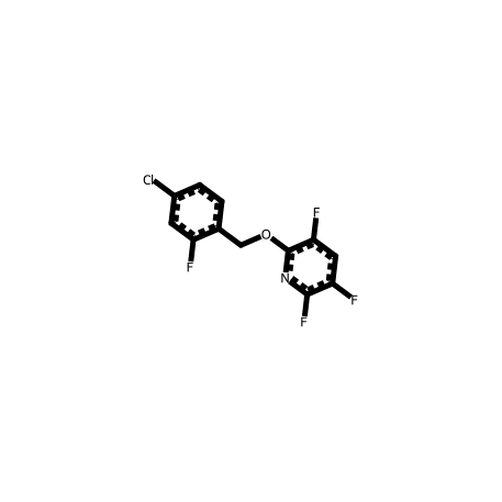 Fc1cc(Cl)ccc1COc1nc(F)c(F)cc1F